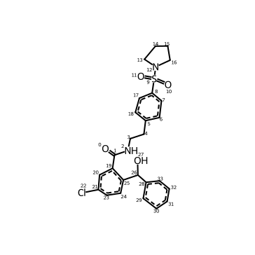 O=C(NCCc1ccc(S(=O)(=O)N2CCCC2)cc1)c1cc(Cl)ccc1C(O)c1ccccc1